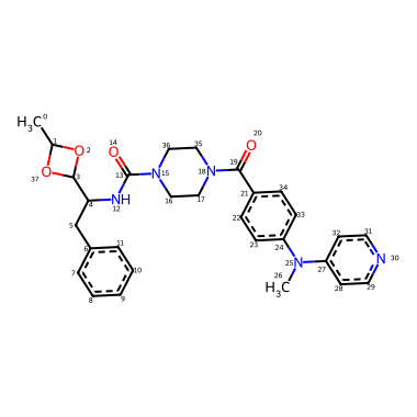 CC1OC(C(Cc2ccccc2)NC(=O)N2CCN(C(=O)c3ccc(N(C)c4ccncc4)cc3)CC2)O1